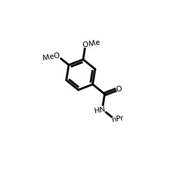 CCCNC(=O)c1ccc(OC)c(OC)c1